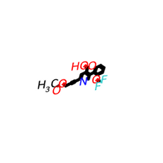 CC(=O)OCC#Cc1cc(C(=O)O)c(-c2ccccc2OC(F)F)cn1